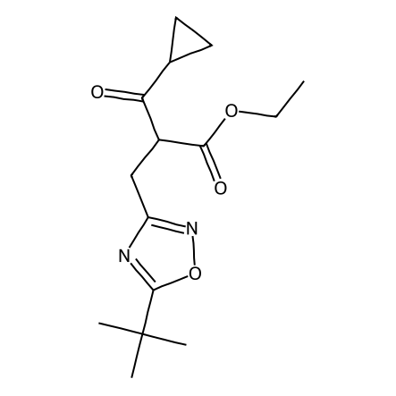 CCOC(=O)C(Cc1noc(C(C)(C)C)n1)C(=O)C1CC1